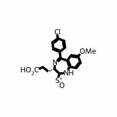 COc1ccc2c(c1)C(c1ccc(Cl)cc1)=N[C@@H](CCC(=O)O)C([S+]=O)N2